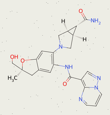 C[C@@]1(CO)Cc2cc(NC(=O)c3cnn4cccnc34)c(N3C[C@@H]4[C@H](C3)[C@H]4C(N)=O)cc2O1